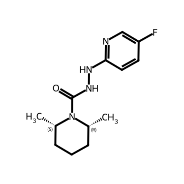 C[C@@H]1CCC[C@H](C)N1C(=O)NNc1ccc(F)cn1